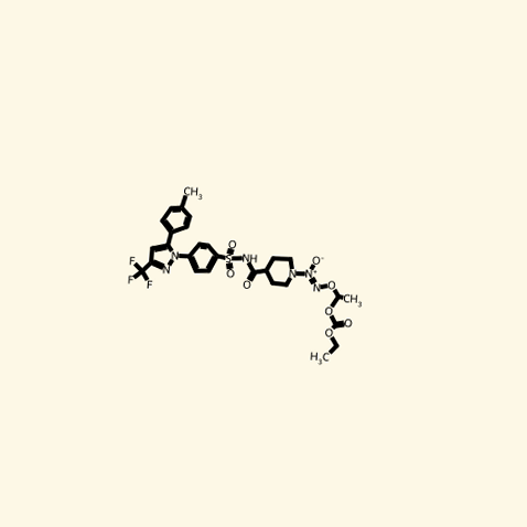 CCOC(=O)OC(C)O/N=[N+](\[O-])N1CCC(C(=O)NS(=O)(=O)c2ccc(-n3nc(C(F)(F)F)cc3-c3ccc(C)cc3)cc2)CC1